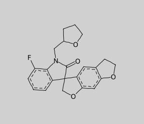 O=C1N(CC2CCCO2)c2c(F)cccc2C12COc1cc3c(cc12)CCO3